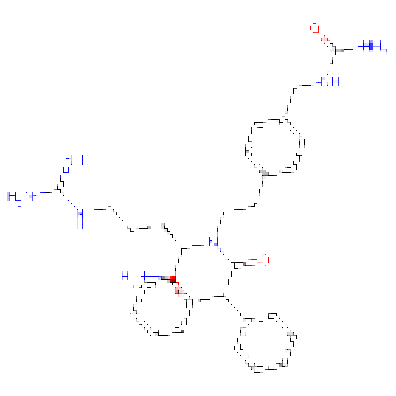 N=C(N)NCCC[C@H](C(N)=O)N(CCc1ccc(CNC(N)=O)cc1)C(=O)C(c1ccccc1)c1ccccc1